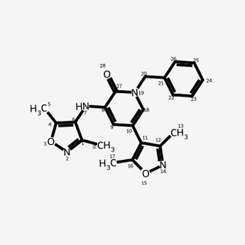 Cc1noc(C)c1Nc1cc(-c2c(C)noc2C)cn(Cc2ccccc2)c1=O